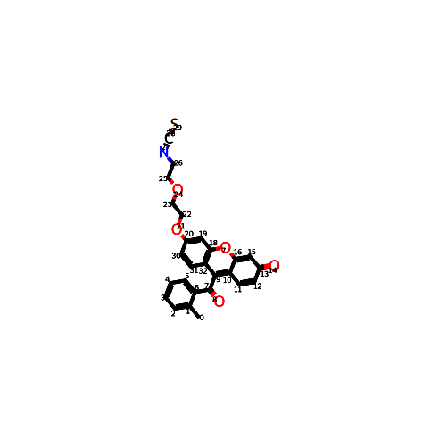 Cc1ccccc1C(=O)c1c2ccc(=O)cc-2oc2cc(OCCOCCN=C=S)ccc12